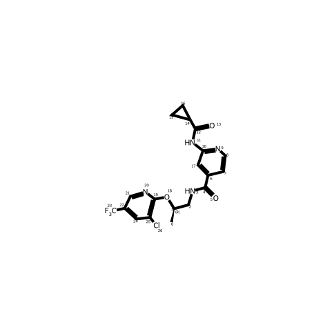 C[C@H](CNC(=O)c1ccnc(NC(=O)C2CC2)c1)Oc1ncc(C(F)(F)F)cc1Cl